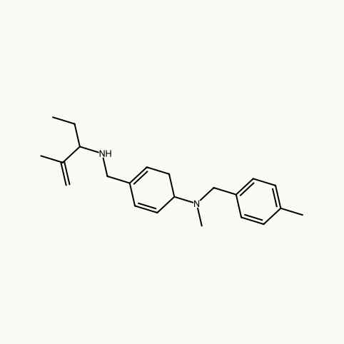 C=C(C)C(CC)NCC1=CCC(N(C)Cc2ccc(C)cc2)C=C1